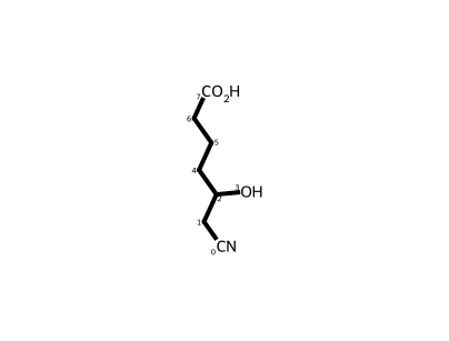 N#CCC(O)CCCC(=O)O